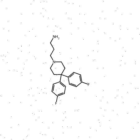 NCCCN1CCC(c2ccc(F)cc2)(c2ccc(F)cc2)CC1